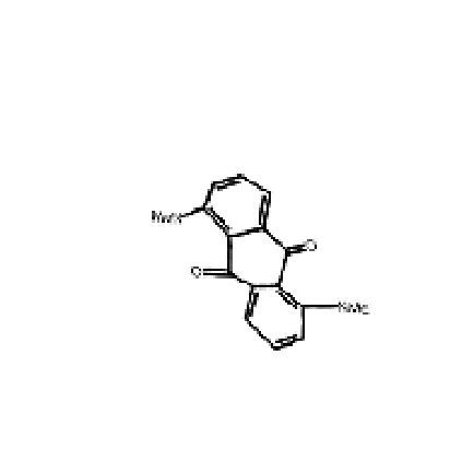 CNc1cccc2c1C(=O)c1cccc(NC)c1C2=O